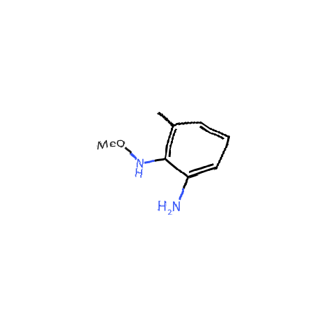 CONc1c(C)cccc1N